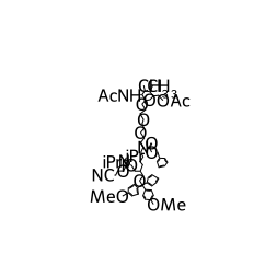 COc1ccc(C(OCC(CCCCN(CCOCCOCCOC2OC(COC(C)=O)C(C)C(C)C2NC(C)=O)C(=O)OCc2ccccc2)COP(OCCC#N)N(C(C)C)C(C)C)(c2ccccc2)c2ccc(OC)cc2)cc1